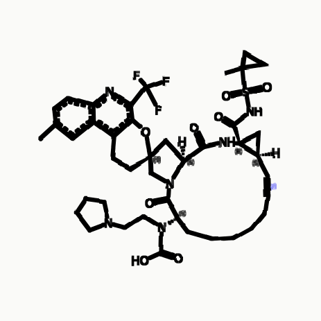 Cc1ccc2nc(C(F)(F)F)c3c(c2c1)CC[C@]1(C[C@H]2C(=O)N[C@]4(C(=O)NS(=O)(=O)C5(C)CC5)C[C@H]4/C=C\CCCCC[C@H](N(CCN4CCCC4)C(=O)O)C(=O)N2C1)O3